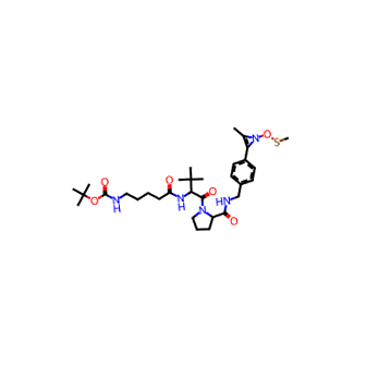 CSON1C(C)=C1c1ccc(CNC(=O)C2CCCN2C(=O)C(NC(=O)CCCCNC(=O)OC(C)(C)C)C(C)(C)C)cc1